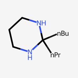 CCCCC1(CCC)NCCCN1